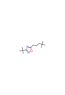 CC(C)(C)CCCc1nc(C(C)(C)C)no1